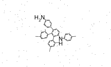 Cc1ccc(Nc2ccc(-c3ccc(N)cc3)c(-c3ccc(C)cc3C)c2-c2ccc(C)cc2C)cc1